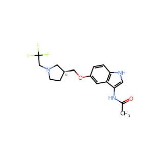 CC(=O)Nc1c[nH]c2ccc(OC[C@H]3CCN(CC(F)(F)F)C3)cc12